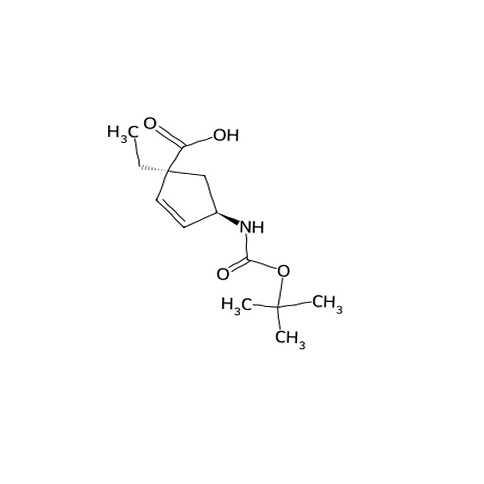 CC[C@@]1(C(=O)O)C=C[C@H](NC(=O)OC(C)(C)C)C1